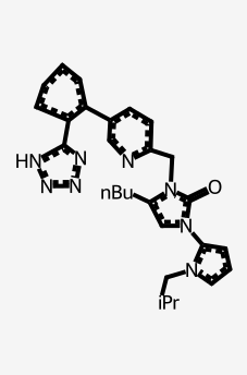 CCCCc1cn(-c2cccn2CC(C)C)c(=O)n1Cc1ccc(-c2ccccc2-c2nnn[nH]2)cn1